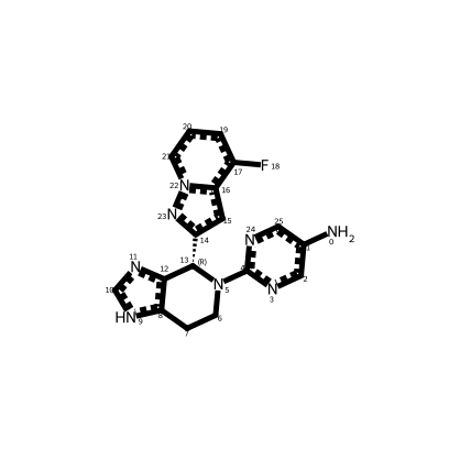 Nc1cnc(N2CCc3[nH]cnc3[C@@H]2c2cc3c(F)cccn3n2)nc1